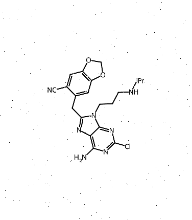 CC(C)NCCCn1c(Cc2cc3c(cc2C#N)OCO3)nc2c(N)nc(Cl)nc21